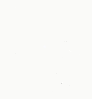 COc1ccc(C)cc1C(=O)/C=C/c1ccc([N+](=O)[O-])cc1[N+](=O)[O-]